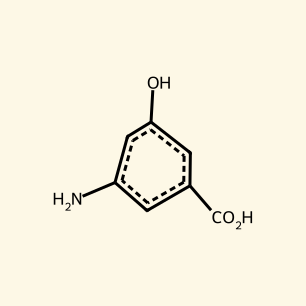 Nc1cc(O)cc(C(=O)O)c1